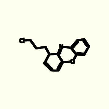 ClCCCC1C=CC=C2Oc3ccccc3N=C21